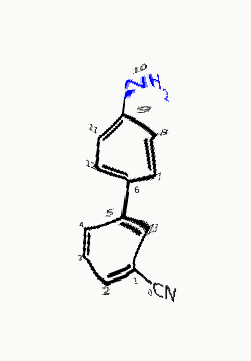 N#Cc1cc[c]c(-c2ccc(N)cc2)c1